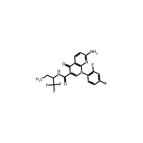 CCC(NC(=O)c1cn(-c2ccc(F)cc2F)c2nc(N)ccc2c1=O)C(F)(F)F